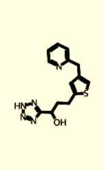 OC(CCc1cc(Cc2ccccn2)cs1)c1nn[nH]n1